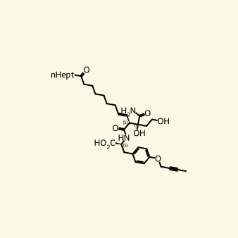 CC#CCOc1ccc(C[C@H](NC(=O)[C@@H](C=CCCCCCCC(=O)CCCCCCC)[C@@](O)(CCO)C(N)=O)C(=O)O)cc1